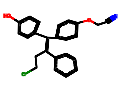 N#CCOc1ccc(C(=C(CCCl)c2ccccc2)c2ccc(O)cc2)cc1